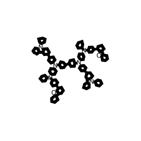 c1ccc(N(c2ccc(-c3cccc4c3oc3ccccc34)cc2)c2ccc(N(c3ccc(-c4ccc(N(c5ccc(-c6ccc7c(c6)c6ccccc6n7-c6ccccc6)cc5)c5ccc(N(c6ccccc6)c6ccc(-c7cccc8c7oc7ccccc78)cc6)cc5)cc4)cc3)c3ccc(-c4ccc5c(c4)c4ccccc4n5-c4ccccc4)cc3)cc2)cc1